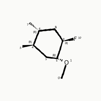 CO[C@@H]1C[C@@H](C)[C@H](C)C[C@H]1F